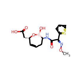 CO/N=C(\C(=O)N[C@H]1CC=C[C@H](CC(=O)O)OB1O)c1cccs1